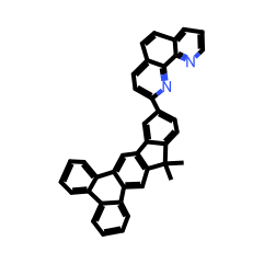 CC1(C)c2ccc(-c3ccc4ccc5cccnc5c4n3)cc2-c2cc3c4ccccc4c4ccccc4c3cc21